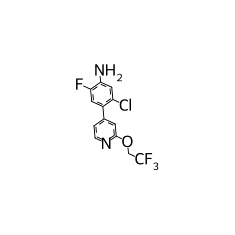 Nc1cc(Cl)c(-c2ccnc(OCC(F)(F)F)c2)cc1F